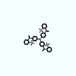 C=C(c1ccc(N(c2ccc(C(=C)c3ccccc3[Si](C)(C)C)cc2)c2ccc(C(=C)c3ccccc3[Si](C)(C)C)cc2)cc1)c1ccccc1[Si](C)(C)C